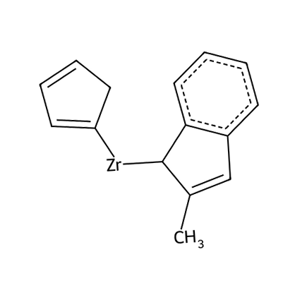 CC1=Cc2ccccc2[CH]1[Zr][C]1=CC=CC1